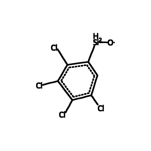 [O][SiH2]c1cc(Cl)c(Cl)c(Cl)c1Cl